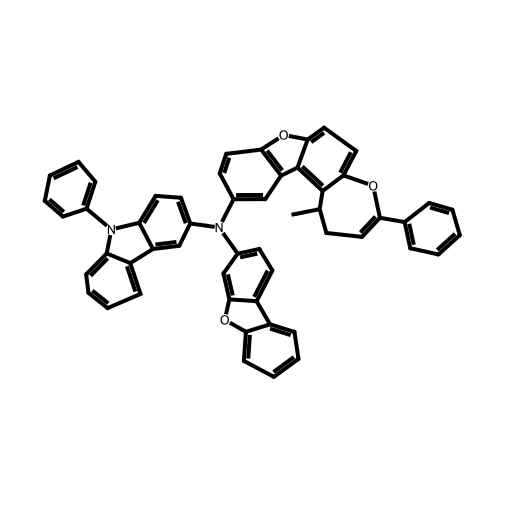 CC1CC=C(c2ccccc2)Oc2ccc3oc4ccc(N(c5ccc6c(c5)oc5ccccc56)c5ccc6c(c5)c5ccccc5n6-c5ccccc5)cc4c3c21